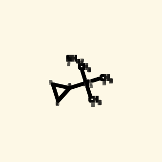 C[N+](C)(C)C1CC1.[SiH4]